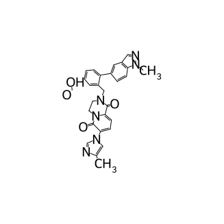 Cc1cn(-c2ccc3n(c2=O)CCN(Cc2ccccc2-c2ccc4c(cnn4C)c2)C3=O)cn1.O=CO